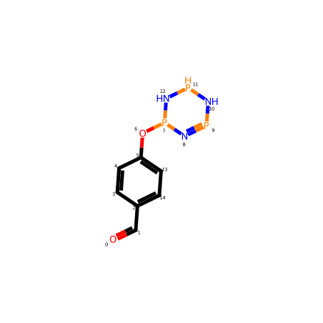 O=Cc1ccc(Op2np[nH][pH][nH]2)cc1